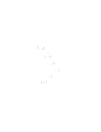 [BaH2].[SrH2].[SrH2].[SrH2].[SrH2].[SrH2]